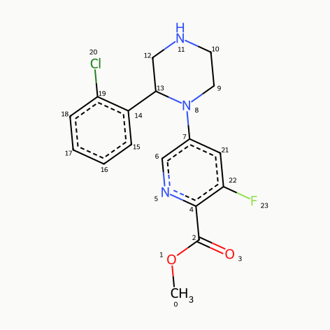 COC(=O)c1ncc(N2CCNCC2c2ccccc2Cl)cc1F